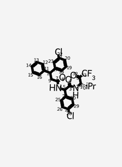 CC(C)[C@H](NC(=O)C(NC(=O)CC(c1ccccc1)c1cccc(Cl)c1)c1ccc(Cl)cc1)C(=O)C(F)(F)F